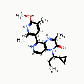 CCC(C1CC1)n1c(=O)c(C)nc2c(-c3cc(C)c(OC)nc3C)nccc21